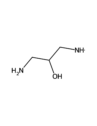 [NH]CC(O)CN